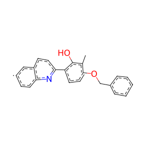 Cc1c(OCc2ccccc2)ccc(-c2ccc3c[c]ccc3n2)c1O